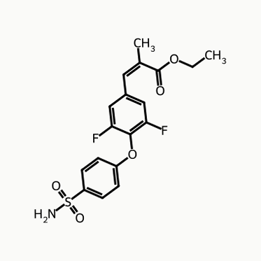 CCOC(=O)C(C)=Cc1cc(F)c(Oc2ccc(S(N)(=O)=O)cc2)c(F)c1